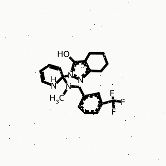 CN(Cc1cccc(C(F)(F)F)c1)C1(n2nc3c(c2O)CCCC3)C=CC=CN1